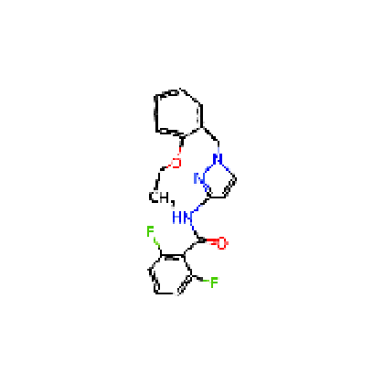 CCOc1ccccc1Cn1ccc(NC(=O)c2c(F)cccc2F)n1